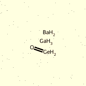 [BaH2].[GaH3].[O]=[GeH2]